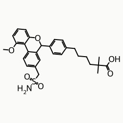 COc1cccc2c1-c1ccc(CS(N)(=O)=O)cc1C(c1ccc(CCCCC(C)(C)C(=O)O)cc1)O2